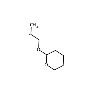 C[CH]COC1CCCCO1